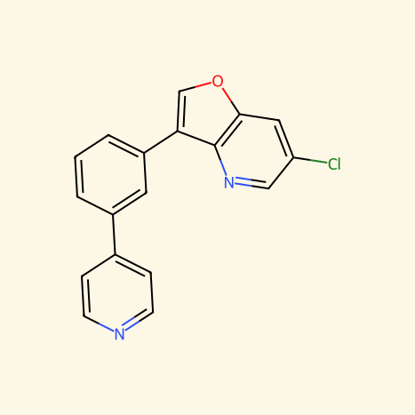 Clc1cnc2c(-c3cccc(-c4ccncc4)c3)coc2c1